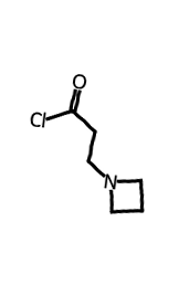 O=C(Cl)CCN1CCC1